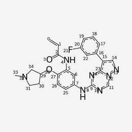 C=CC(=O)Nc1cc(Nc2ncn3ncc(-c4cccc(F)c4)c3n2)ccc1OC1CCN(C)C1